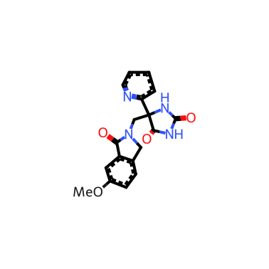 COc1ccc2c(c1)C(=O)N(CC1(c3ccccn3)NC(=O)NC1=O)C2